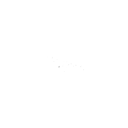 CCCCCCCCC(CCCCCCCC)C([O])CC